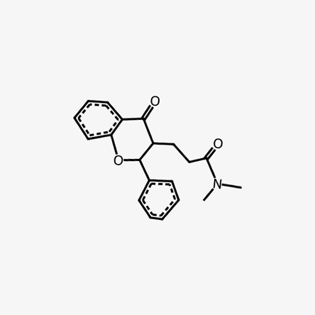 CN(C)C(=O)CCC1C(=O)c2ccccc2OC1c1ccccc1